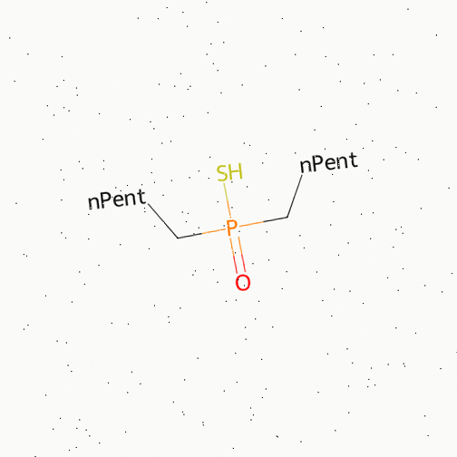 CCCCCCP(=O)(S)CCCCCC